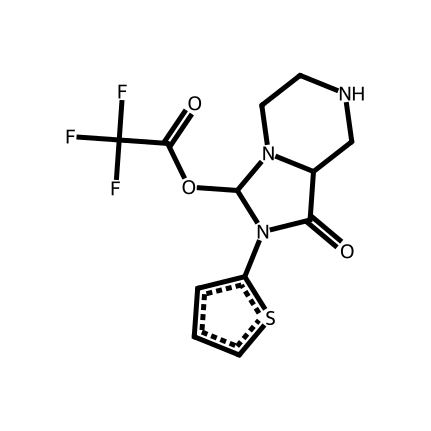 O=C1C2CNCCN2C(OC(=O)C(F)(F)F)N1c1cccs1